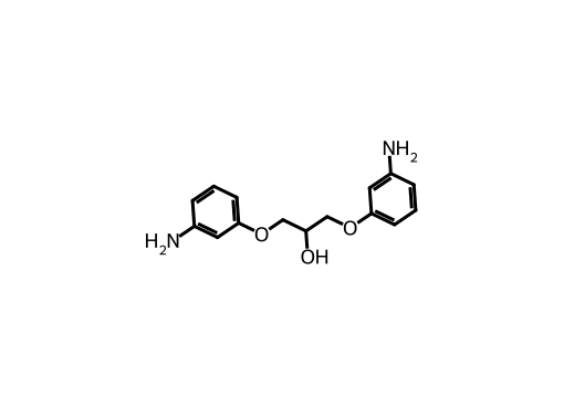 Nc1cccc(OCC(O)COc2cccc(N)c2)c1